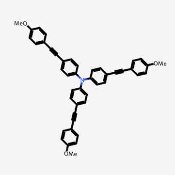 COc1ccc(C#Cc2ccc(N(c3ccc(C#Cc4ccc(OC)cc4)cc3)c3ccc(C#Cc4ccc(OC)cc4)cc3)cc2)cc1